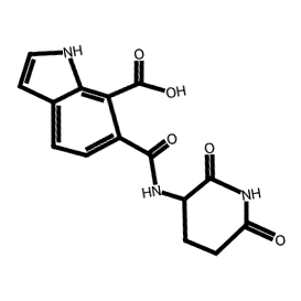 O=C1CCC(NC(=O)c2ccc3cc[nH]c3c2C(=O)O)C(=O)N1